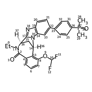 CCN1C(=O)c2cccc(OC(F)F)c2[C@H]2C[C@@H]1c1nc3ccc(-c4ccc(P(C)(C)=O)cc4)cc3n12